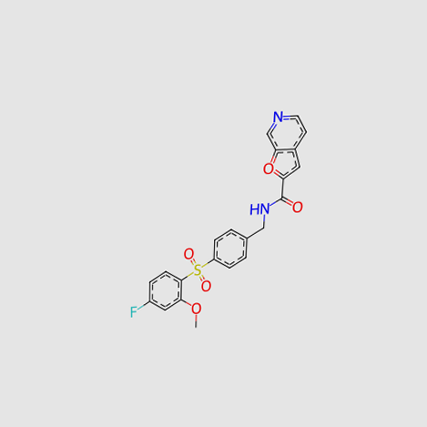 COc1cc(F)ccc1S(=O)(=O)c1ccc(CNC(=O)c2cc3ccncc3o2)cc1